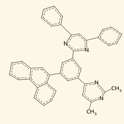 Cc1cc(-c2cc(-c3nc(-c4ccccc4)cc(-c4ccccc4)n3)cc(-c3cc4ccccc4c4ccccc34)c2)nc(C)n1